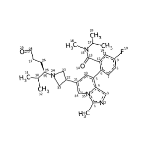 Cc1ncc2c(-c3ccc(F)cc3C(=O)N(C)C(C)C)cc(C3CN([C@H](CCC=O)C(C)C)C3)cn12